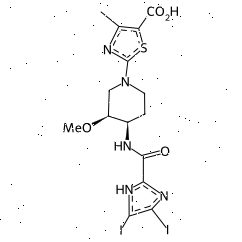 CO[C@H]1CN(c2nc(C)c(C(=O)O)s2)CC[C@H]1NC(=O)c1nc(I)c(I)[nH]1